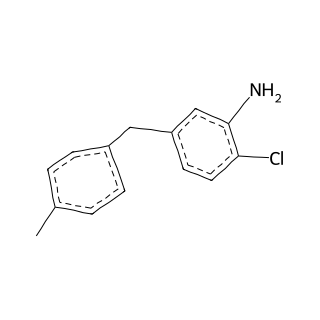 Cc1ccc(Cc2ccc(Cl)c(N)c2)cc1